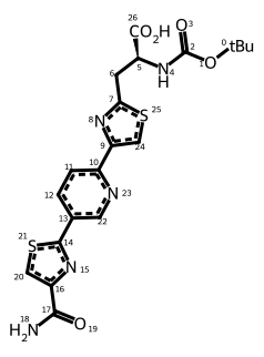 CC(C)(C)OC(=O)N[C@@H](Cc1nc(-c2ccc(-c3nc(C(N)=O)cs3)cn2)cs1)C(=O)O